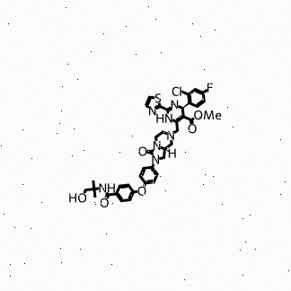 COC(=O)C1=C(CN2CCN3C(=O)N(c4ccc(Oc5ccc(C(=O)NC(C)(C)CO)cc5)cc4)C[C@@H]3C2)NC(c2nccs2)=N[C@H]1c1ccc(F)cc1Cl